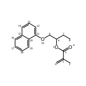 C=C(C)C(=O)OC(CC)COc1cccc2ccccc12